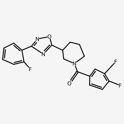 O=C(c1ccc(F)c(F)c1)N1CCCC(c2nc(-c3ccccc3F)no2)C1